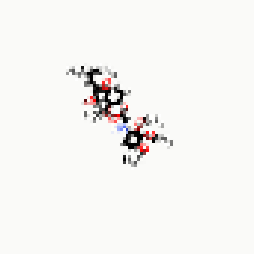 COc1ccc(NCC(=O)O[C@@H]2CC[C@]3(CO3)[C@@H]([C@@]3(C)OC3CC=C(C)C)[C@@H]2OC)c(OC)c1OC